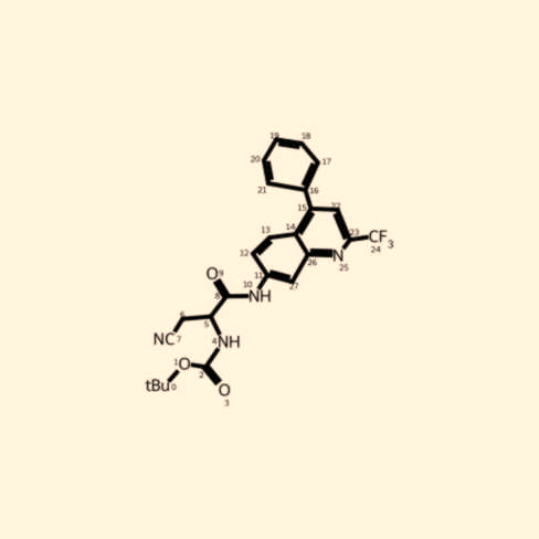 CC(C)(C)OC(=O)NC(CC#N)C(=O)Nc1ccc2c(-c3ccccc3)cc(C(F)(F)F)nc2c1